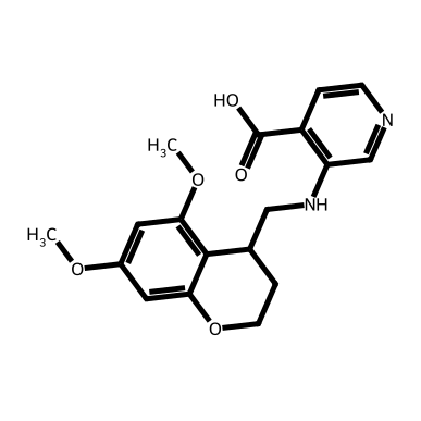 COc1cc(OC)c2c(c1)OCCC2CNc1cnccc1C(=O)O